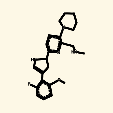 CNCc1nc(C2CC(c3c(F)cccc3OC)=CN2)ccc1N1CCCCC1